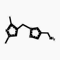 Cc1nn(C)cc1Cn1cc(CN)cn1